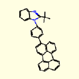 CC(C)(C)c1nc2ccccc2n1-c1ccc(-c2ccc3c4cccc5cccc(c6cccc2c63)c54)cc1